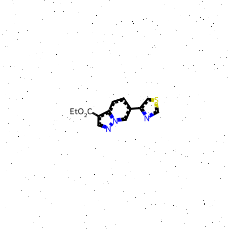 CCOC(=O)c1cnn2cc(-c3cscn3)ccc12